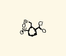 O=C(Cl)c1cccc([N+](=O)[O-])c1CBr